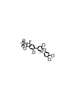 COc1cc(C(=O)NS(C)(=O)=O)c(F)cc1-c1cnc(Oc2ccc(Cl)c(Cl)c2)c(Cl)c1